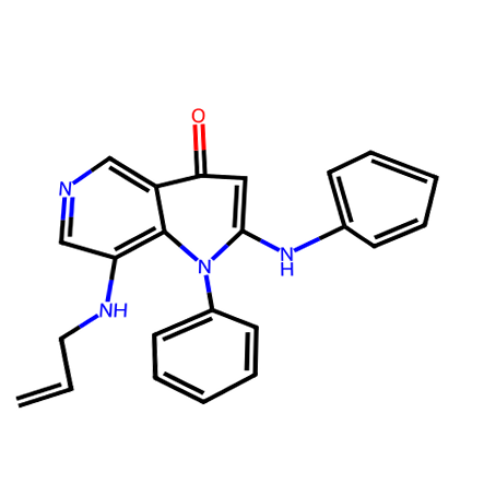 C=CCNc1cncc2c(=O)cc(Nc3ccccc3)n(-c3ccccc3)c12